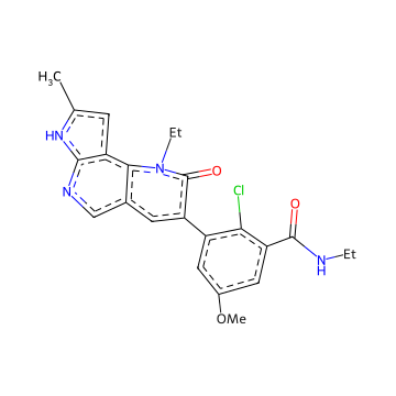 CCNC(=O)c1cc(OC)cc(-c2cc3cnc4[nH]c(C)cc4c3n(CC)c2=O)c1Cl